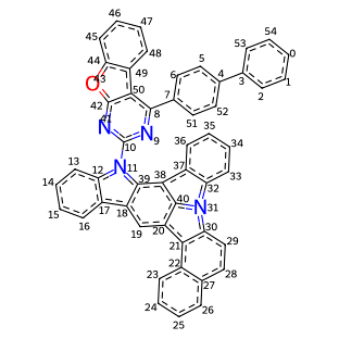 c1ccc(-c2ccc(-c3nc(-n4c5ccccc5c5cc6c7c8ccccc8ccc7n7c8ccccc8c(c54)c67)nc4oc5ccccc5c34)cc2)cc1